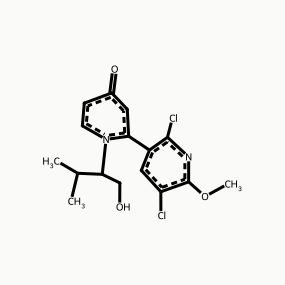 COc1nc(Cl)c(-c2cc(=O)ccn2C(CO)C(C)C)cc1Cl